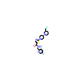 O=C(NCc1ncc(F)cc1F)c1cnc(N2CCC(N3CCCC(CF)C3)CC2)s1